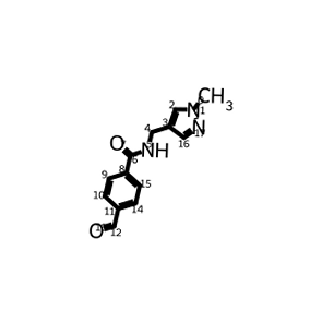 Cn1cc(CNC(=O)c2ccc(C=O)cc2)cn1